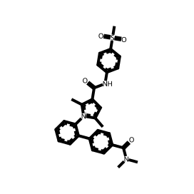 Cc1cc(C(=O)Nc2ccc(S(C)(=O)=O)cc2)c(C)n1-c1ccccc1-c1ccc(C(=O)N(C)C)cc1